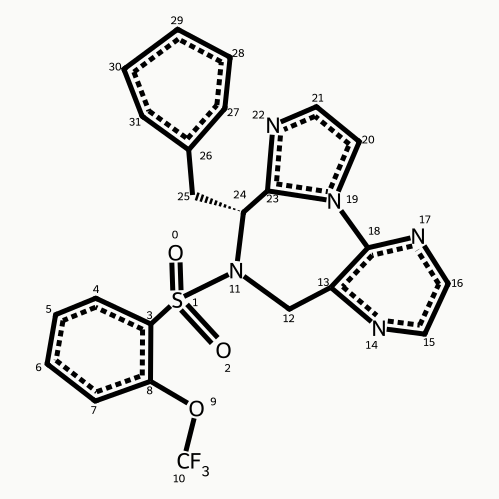 O=S(=O)(c1ccccc1OC(F)(F)F)N1Cc2nccnc2-n2ccnc2[C@H]1Cc1ccccc1